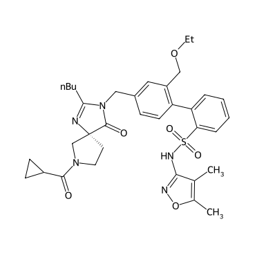 CCCCC1=N[C@@]2(CCN(C(=O)C3CC3)C2)C(=O)N1Cc1ccc(-c2ccccc2S(=O)(=O)Nc2noc(C)c2C)c(COCC)c1